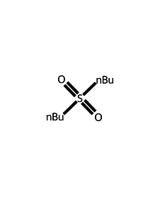 [CH2]CCCS(=O)(=O)CCCC